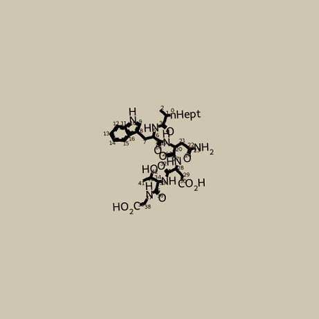 CCCCCCCC(C)C(=O)NC(Cc1c[nH]c2ccccc12)C(=O)NC(CC(N)=O)C(=O)NC(CC(=O)O)C(=O)NC(C(=O)NCC(=O)O)C(C)O